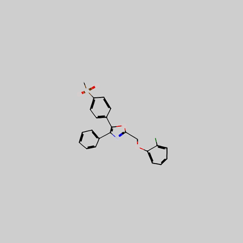 CS(=O)(=O)c1ccc(-c2oc(COc3ccccc3Cl)nc2-c2ccccc2)cc1